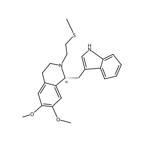 COc1cc2c(cc1OC)[C@@H](Cc1c[nH]c3ccccc13)N(CCSC)CC2